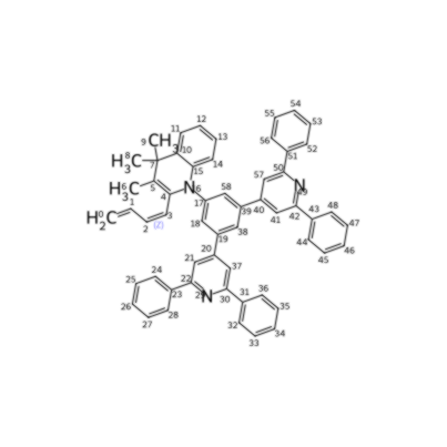 C=C/C=C\C1=C(C)C(C)(C)c2ccccc2N1c1cc(-c2cc(-c3ccccc3)nc(-c3ccccc3)c2)cc(-c2cc(-c3ccccc3)nc(-c3ccccc3)c2)c1